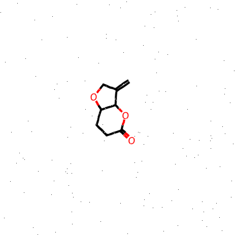 C=C1COC2CCC(=O)OC12